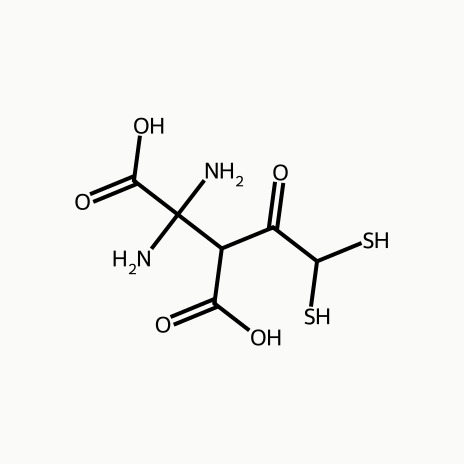 NC(N)(C(=O)O)C(C(=O)O)C(=O)C(S)S